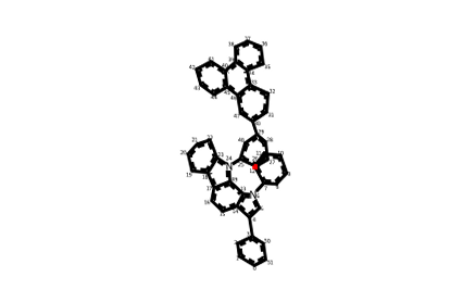 c1ccc(-c2cn(-c3ccccc3)c3c2ccc2c4ccccc4n(-c4cccc(-c5ccc6c7ccccc7c7ccccc7c6c5)c4)c23)cc1